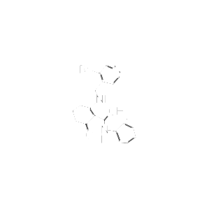 C=C(Nc1ccccc1)C1=C(NCc2ccncc2Br)CCCC1=O